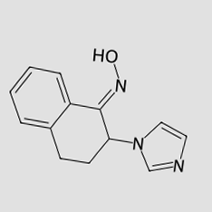 ON=C1c2ccccc2CCC1n1ccnc1